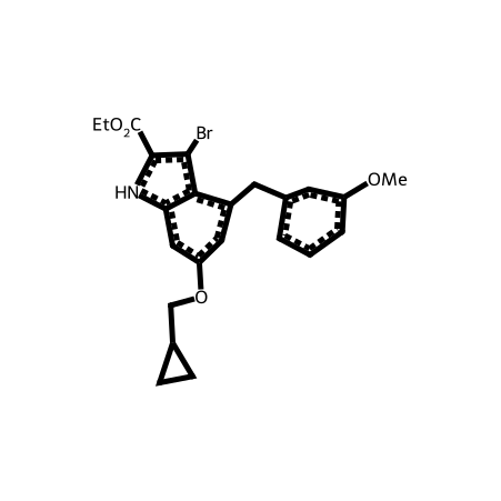 CCOC(=O)c1[nH]c2cc(OCC3CC3)cc(Cc3cccc(OC)c3)c2c1Br